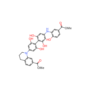 COC(=O)c1ccc(O)c(Nc2cc(O)c(-c3c(O)cc(N4CCCc5ccc(C(=O)OC)cc54)cc3O)c(O)c2)c1